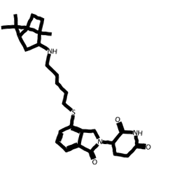 CC1(C)C2CC(NCCCCCSc3cccc4c3CN(C3CCC(=O)NC3=O)C4=O)C3(C)CCC213